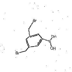 OB(O)c1cc(CBr)cc(CBr)c1